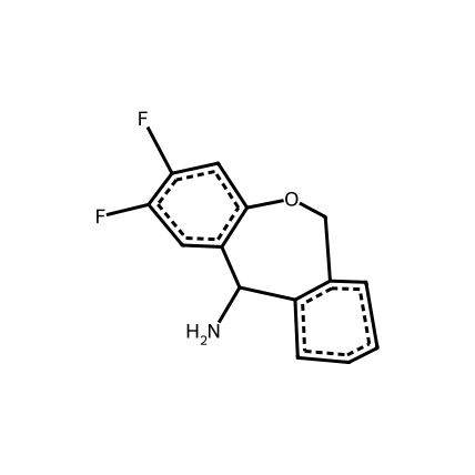 NC1c2ccccc2COc2cc(F)c(F)cc21